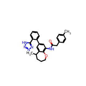 Cc1ccc(CC(=O)Nc2cc(-c3ccccc3-c3nnn[nH]3)cc3c2OCCCC3C)cc1